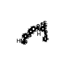 O=C(Nc1cc(OCCN2CCCC2)cc(C(F)(F)F)c1)C1CCc2ccc(Oc3ccnc(C4=NCCN4)c3)cc2C1